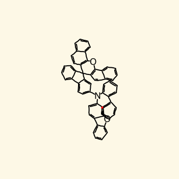 c1ccc(-c2ccccc2N(c2ccc3c(c2)C2(c4ccccc4-3)c3ccc4ccccc4c3Oc3c2ccc2ccccc32)c2ccc3c(c2)oc2ccccc23)cc1